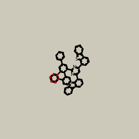 c1ccc(-c2cc(-c3ccccc3)c(-c3ccccc3-c3ccccc3)c(-c3nc(-c4cccc5c4sc4ccccc45)cc(-c4cccc5c4sc4ccccc45)n3)c2)cc1